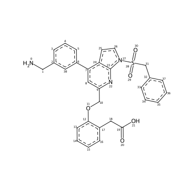 NCc1cccc(-c2cc(COc3ccccc3CC(=O)O)nc3c2ccn3S(=O)(=O)Cc2ccccc2)c1